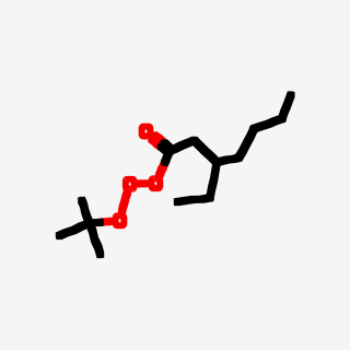 CCCCC(CC)CC(=O)OOOC(C)(C)C